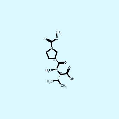 COC(=O)N1CC[C@H](C(=O)N(C)[C@H](C(=O)O)C(C)C)C1